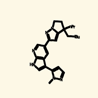 CCCC1(CC(C)CC)CCn2nc(-c3cnc4[nH]cc(-c5ccnn5C)c4c3)cc21